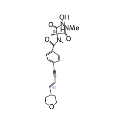 CNC(=O)[C@@](C)(C(=O)NO)N(C)C(=O)c1ccc(C#C/C=C/C2CCOCC2)cc1